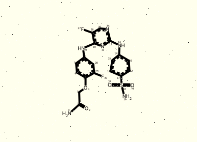 NC(=O)COc1ccc(Nc2nc(Nc3ccc(S(N)(=O)=O)cc3)ncc2F)cc1F